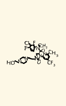 Cc1cc(C(F)(F)F)cc(N2C(=O)N(CCN3CCN(CCO)CC3)C[C@H]2C(=O)N(C)c2ccc(F)c(Cl)c2F)n1